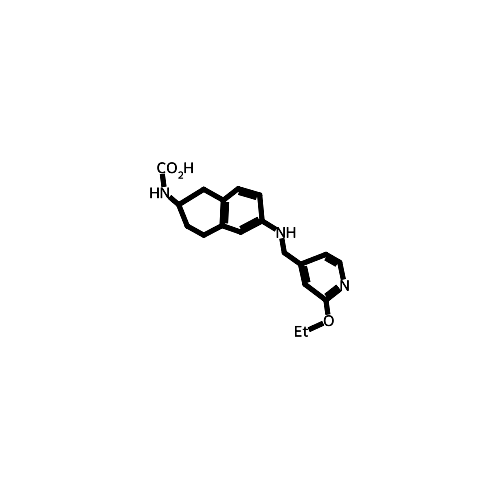 CCOc1cc(CNc2ccc3c(c2)CCC(NC(=O)O)C3)ccn1